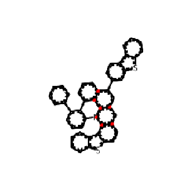 c1ccc(-c2ccccc2-c2c(-c3ccccc3)cccc2N(c2ccc(-c3ccc4c(c3)sc3ccccc34)cc2)c2cccc3sc4ccccc4c23)cc1